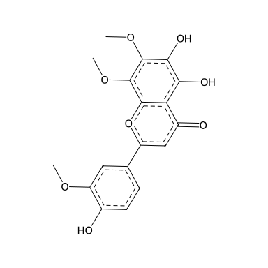 COc1cc(-c2cc(=O)c3c(O)c(O)c(OC)c(OC)c3o2)ccc1O